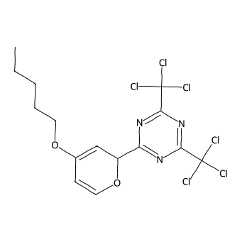 CCCCCOC1=CC(c2nc(C(Cl)(Cl)Cl)nc(C(Cl)(Cl)Cl)n2)OC=C1